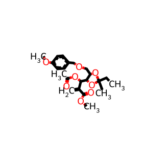 C=C(C(=O)OC)C(OC(C)=O)C1OC(CC)(CC)OC1COCc1ccc(OC)cc1